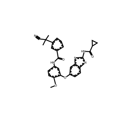 COc1ccc(NC(=O)c2cccc(C(C)(C)C#N)c2)cc1Oc1ccc2nc(NC(=O)C3CC3)sc2c1